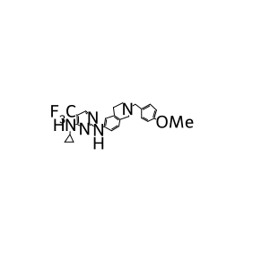 COc1ccc(CN2CCc3cc(Nc4ncc(C(F)(F)F)c(NC5CC5)n4)ccc3C2)cc1